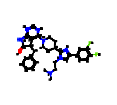 CN(C)CCn1cc(-c2ccc(F)c(F)c2)nc1C1CCN(c2ncnc3c2C(Cc2ccccc2)C(=O)N3)CC1